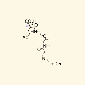 CCCCCCCCCCCCN(C)CCC(=O)NCC(C)OCCNC(=O)/C(CCC(C)=O)=C(/C)C(=O)O